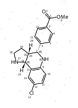 COC(=O)c1ccc([C@@H]2Nc3ccc(Cl)cc3[C@@H]3NCC[C@H]23)cc1